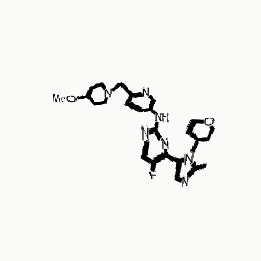 COC1CCN(Cc2ccc(Nc3ncc(F)c(-c4cnc(C)n4C4CCOCC4)n3)cn2)CC1